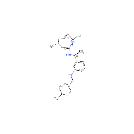 CC1C=CC(CNc2cccc([C@H](C)NC3=C/C(C)C/C=C/C(Cl)=N\3)c2)=CC1